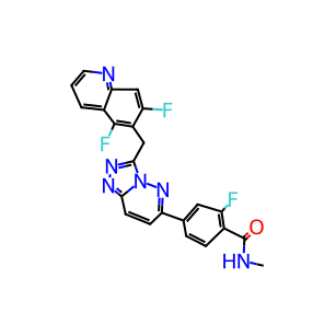 CNC(=O)c1ccc(-c2ccc3nnc(Cc4c(F)cc5ncccc5c4F)n3n2)cc1F